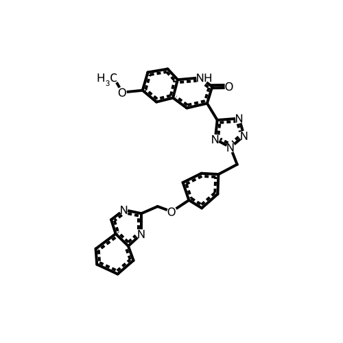 COc1ccc2[nH]c(=O)c(-c3nnn(Cc4ccc(OCc5ncc6ccccc6n5)cc4)n3)cc2c1